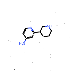 Nc1ccnc(C2CCCNC2)c1